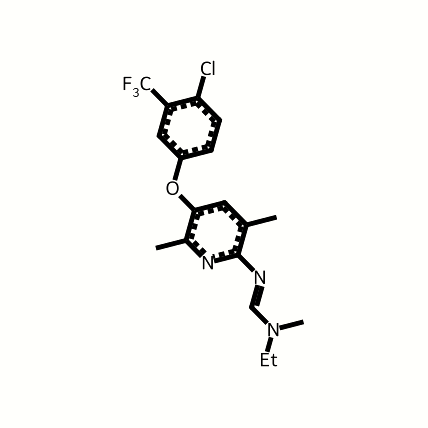 CCN(C)C=Nc1nc(C)c(Oc2ccc(Cl)c(C(F)(F)F)c2)cc1C